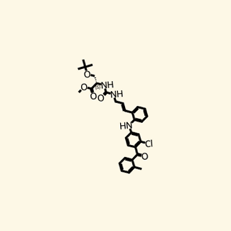 COC(=O)[C@H](COC(C)(C)C)NC(=O)NCC=Cc1ccccc1Nc1ccc(C(=O)c2ccccc2C)c(Cl)c1